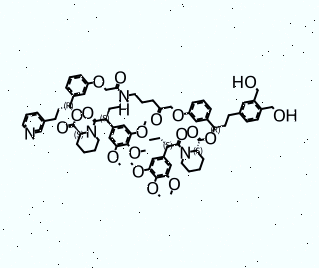 CC[C@H](C(=O)N1CCCC[C@H]1C(=O)O[C@H](CCc1ccc(CO)c(CO)c1)c1cccc(OCC(=O)CCCNC(=O)COc2cccc([C@@H](CCc3cccnc3)OC(=O)[C@@H]3CCCCN3C(=O)[C@@H](CC)c3cc(OC)c(OC)c(OC)c3)c2)c1)c1cc(OC)c(OC)c(OC)c1